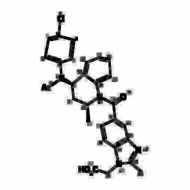 CC(=O)N(c1ccc(Cl)cc1)[C@@H]1C[C@H](C)N(C(=O)c2ccc3c(c2)nc(C)n3CC(=O)O)c2ccccc21